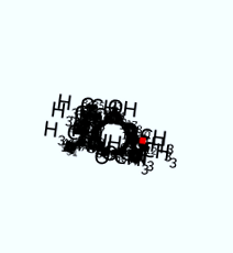 CCn1c(-c2cccnc2C(C)C)c2c3cc(ccc31)-c1cc(O)cc(c1)C[C@H](NC(=O)[C@H](C(C)C)N(C)C(=O)CN(C)C(=O)[C@@H]1N[C@@H]1C1CCC1)C(=O)N1CCC[C@H](N1)C(=O)OCC(C)(C)C2